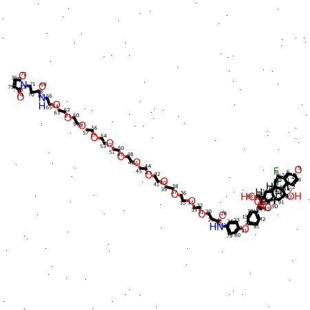 C[C@]12C=CC(=O)C=C1[C@@H](F)C[C@H]1[C@@H]3C[C@H]4O[C@@H](c5ccc(Oc6ccc(NC(=O)CCOCCOCCOCCOCCOCCOCCOCCOCCOCCOCCOCCOCCNC(=O)CCN7C(=O)C=CC7=O)cc6)cc5)O[C@@]4(C(=O)CO)[C@@]3(C)C[C@H](O)[C@@]12F